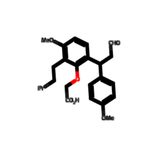 COc1ccc(C(CC=O)c2ccc(OC)c(CCC(C)C)c2OCC(=O)O)cc1